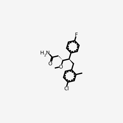 CO[C@H](CC(N)=O)[C@H](Cc1ccc(Cl)cc1C)c1ccc(F)cc1